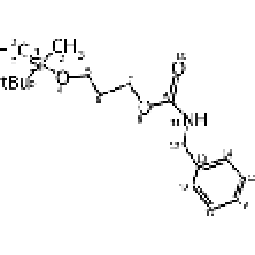 CC(C)(C)[Si](C)(C)OCCCOC(=O)NCc1ccccc1